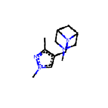 Cc1nn(C)cc1CN1C2CC1CN(C)C2